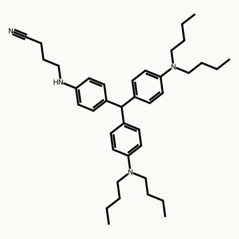 CCCCN(CCCC)c1ccc(C(c2ccc(NCCCC#N)cc2)c2ccc(N(CCCC)CCCC)cc2)cc1